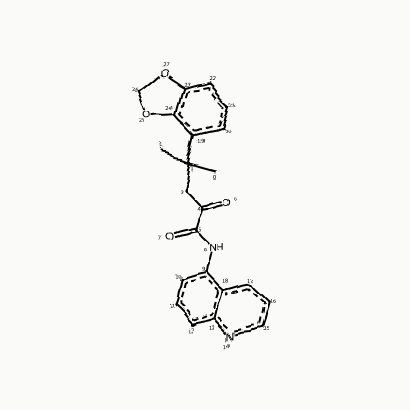 CC(C)(CC(=O)C(=O)Nc1cccc2ncccc12)c1cccc2c1OCO2